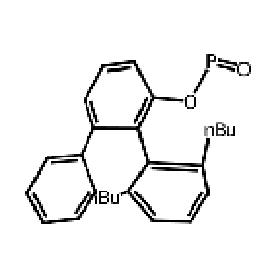 CCCCc1cccc(CCCC)c1-c1c(OP=O)cccc1-c1ccccc1